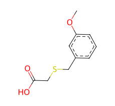 COc1cccc(CSCC(=O)O)c1